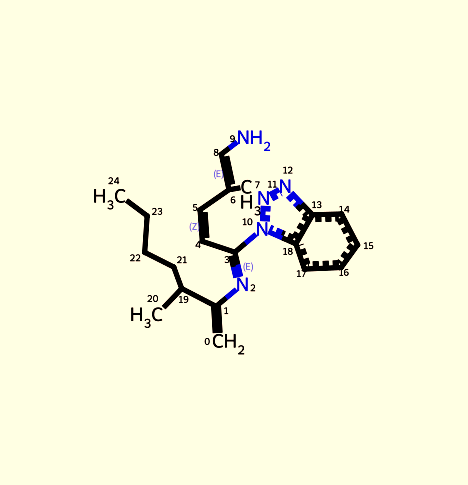 C=C(\N=C(/C=C\C(C)=C\N)n1nnc2ccccc21)C(C)CCCC